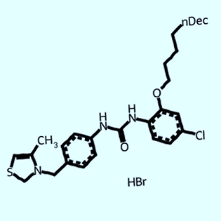 Br.CCCCCCCCCCCCCCOc1cc(Cl)ccc1NC(=O)Nc1ccc(CN2CSC=C2C)cc1